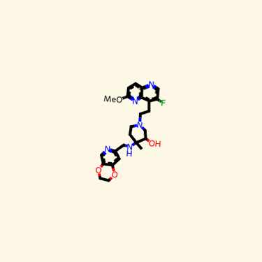 COc1ccc2ncc(F)c(CCN3CCC(C)(NCc4cc5c(cn4)OCCO5)C(O)C3)c2n1